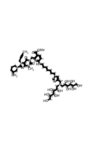 CC#CCn1c(N2CCCC(N)C2)nc2c1c(=O)n(Cc1nc(NCCCCCCCn3cc(CN(C[C@H](O)[C@@H](O)[C@H](O)[C@H](O)CO)C[C@H](O)[C@@H](O)[C@H](O)[C@H](O)CO)nn3)ccc1C(=O)OC)c(=O)n2C